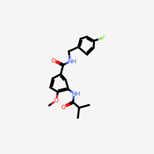 COc1ccc(C(=O)NCc2ccc(F)cc2)cc1NC(=O)C(C)C